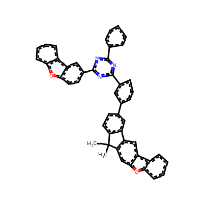 CC1(C)c2ccc(-c3cccc(-c4nc(-c5ccccc5)nc(-c5ccc6oc7ccccc7c6c5)n4)c3)cc2-c2cc3c(cc21)oc1ccccc13